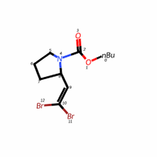 CCCCOC(=O)N1CCCC1C=C(Br)Br